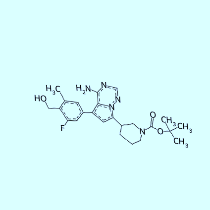 Cc1cc(-c2cc(C3CCCN(C(=O)OC(C)(C)C)C3)n3ncnc(N)c23)cc(F)c1CO